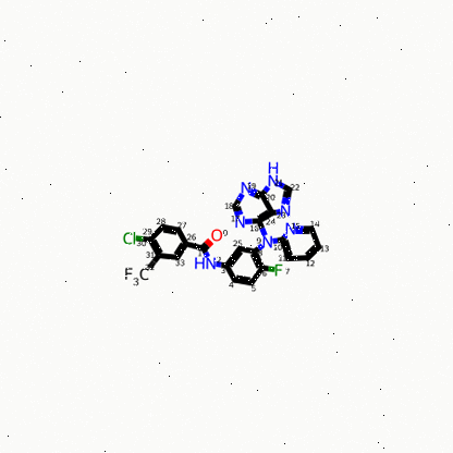 O=C(Nc1ccc(F)c(N(c2ccccn2)c2ncnc3[nH]cnc23)c1)c1ccc(Cl)c(C(F)(F)F)c1